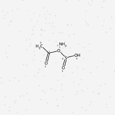 CC(=O)OS(=O)O.N